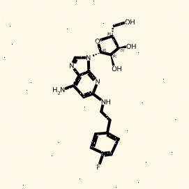 Nc1cc(NCCc2ccc(F)cc2)nc2c1ncn2[C@@H]1O[C@H](CO)[C@@H](O)[C@H]1O